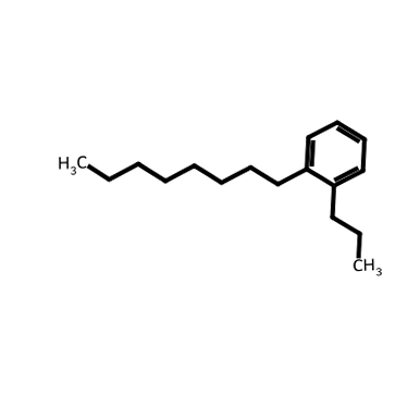 CCCCCCCCc1ccccc1CCC